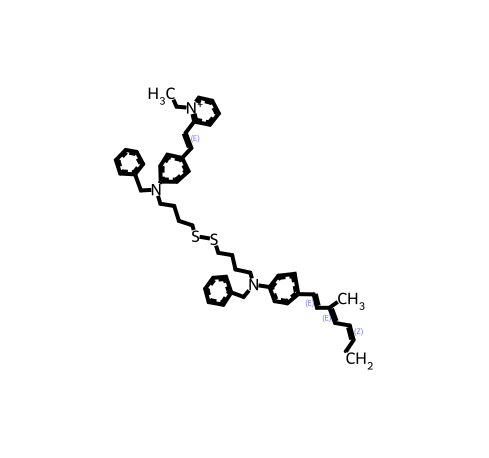 C=C\C=C/C=C(C)/C=C/c1ccc(N(CCCCSSCCCCN(Cc2ccccc2)c2ccc(/C=C/c3cccc[n+]3CC)cc2)Cc2ccccc2)cc1